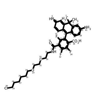 CC1(C)C2=CC(=N)C=CC2=C(c2c(F)c(C(=O)NCCOCCOCCCCCCCl)c(F)c(F)c2C(=O)O)c2ccc(N)cc21